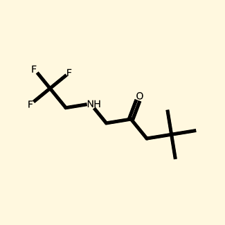 CC(C)(C)CC(=O)CNCC(F)(F)F